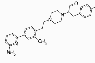 Cc1cc(-c2cccc(N)n2)ccc1CCN1CCN(C(C=O)Cc2ccc(F)cc2)CC1